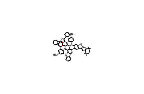 CC(C)(C)c1ccc(N2B3c4cc5c(-c6ccccc6)sc(-c6ccccc6)c5cc4N(c4ccc(C(C)(C)C)cc4-c4ccccc4)c4c3c(cc3c4oc4ccccc43)-c3cc4c(cc32)sc2cc3c(cc24)C(C)(C)CCC3(C)C)cc1